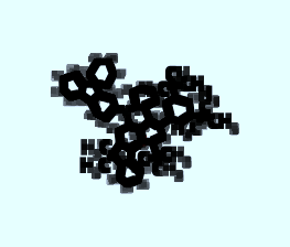 CC(C)(C)c1cc(-c2cc(C(C)(C)C)ccc2-c2ccccc2N(c2ccc3c(c2)C(C)(C)c2ccccc2-3)c2ccc3c(c2)C2(CCCCC2)c2ccccc2-3)cc(C(C)(C)C)c1